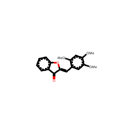 COc1cc(OC)c(OC)cc1/C=C1\Oc2ccccc2C1=O